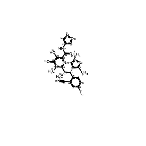 Cc1nn(C)cc1[C@H](c1ccc(F)cc1C#N)[C@H](C)c1nc(C(=O)Nc2cnoc2)c(O)c(=O)n1C